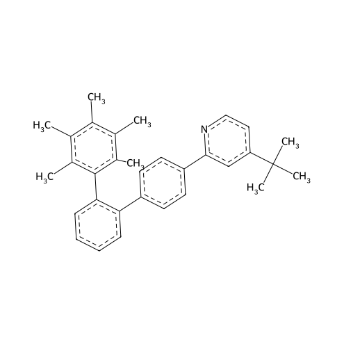 Cc1c(C)c(C)c(-c2ccccc2-c2ccc(-c3cc(C(C)(C)C)ccn3)cc2)c(C)c1C